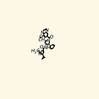 COc1cc(C(=O)N2CC[C@@H](NC(=O)c3cc(C4CC4)nn3C)[C@@H](c3ccccc3)C2)cc2nccnc12